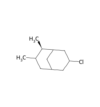 CC1CC2CC(Cl)CC(C2)[C@@H]1C